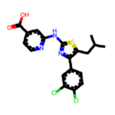 CC(C)Cc1sc(Nc2cc(C(=O)O)ccn2)nc1-c1ccc(Cl)c(Cl)c1